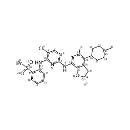 Cc1cc(Nc2ncc(Cl)c(Nc3ccccc3S(=O)(=O)C(C)C)n2)c2c(c1C1CCN(C)CC1)C[C@H](C)O2